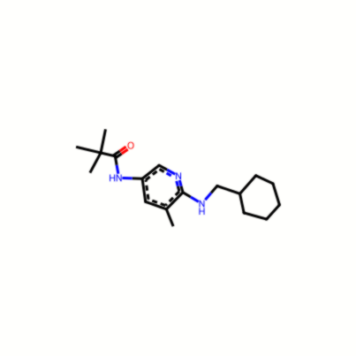 Cc1cc(NC(=O)C(C)(C)C)cnc1NCC1CCCCC1